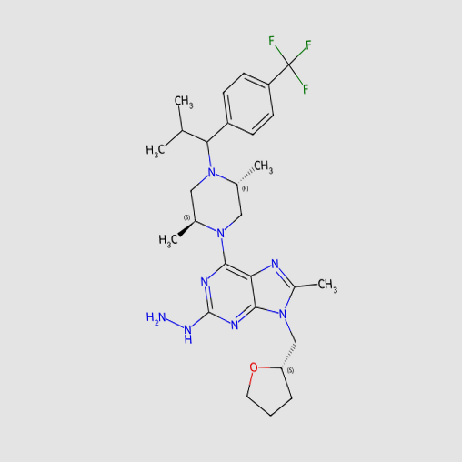 Cc1nc2c(N3C[C@@H](C)N(C(c4ccc(C(F)(F)F)cc4)C(C)C)C[C@@H]3C)nc(NN)nc2n1C[C@@H]1CCCO1